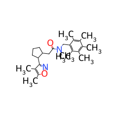 Cc1onc(C2CCCC2CC(=O)N(C)Cc2c(C)c(C)c(C)c(C)c2C)c1C